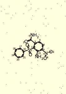 NC(=O)c1ccc([N+](=O)[O-])c(N)c1S(=O)(=O)c1ccccc1